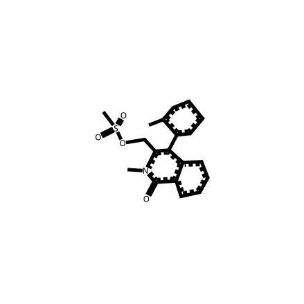 Cc1ccccc1-c1c(COS(C)(=O)=O)n(C)c(=O)c2ccccc12